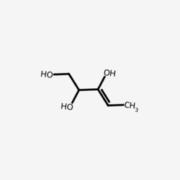 CC=C(O)C(O)CO